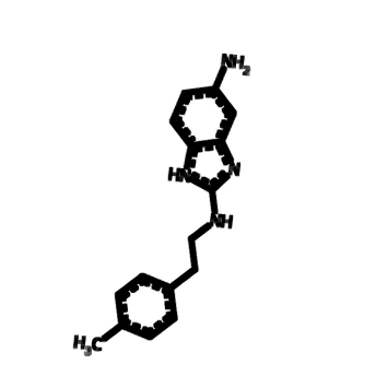 Cc1ccc(CCNc2nc3cc(N)ccc3[nH]2)cc1